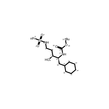 CCCS(=O)(=O)NCC[C@H](O)[C@H](CC1CCCCC1)NC(=O)OC(C)(C)C